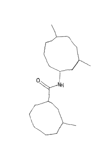 CC1CCCC(NC(=O)C2CCCCCC(C)C2)CC(C)CC1